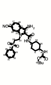 CC(C)(C)OC(=O)NC1CCC(NC(=O)c2c(N)c3ccc(C#N)cc3n2CCS(=O)(=O)c2ccccc2)CC1